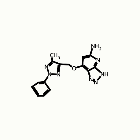 Cc1nn(-c2ccccc2)nc1COc1cc(N)nc2[nH]nnc12